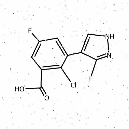 O=C(O)c1cc(F)cc(-c2c[nH]nc2F)c1Cl